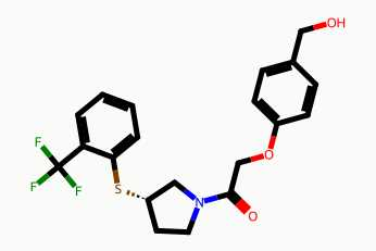 O=C(COc1ccc(CO)cc1)N1CC[C@H](Sc2ccccc2C(F)(F)F)C1